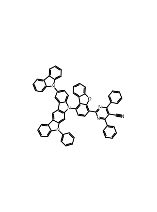 N#Cc1c(-c2ccccc2)nc(-c2ccc(-n3c4ccc(-n5c6ccccc6c6ccccc65)cc4c4cc5c6ccccc6n(-c6ccccc6)c5cc43)c3c2oc2ccccc23)nc1-c1ccccc1